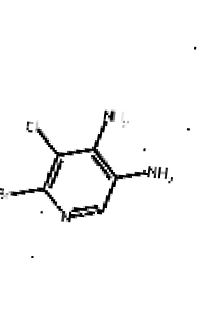 Nc1cnc(Br)c(Cl)c1N